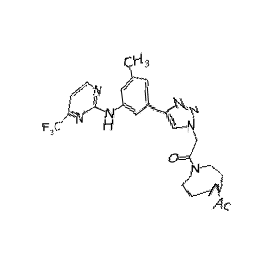 CC(=O)N1CCN(C(=O)Cn2cc(-c3cc(C)cc(Nc4nccc(C(F)(F)F)n4)c3)nn2)CC1